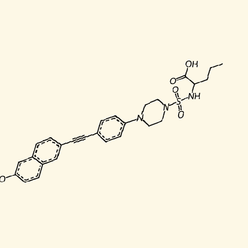 CCCC(NS(=O)(=O)N1CCN(c2ccc(C#Cc3ccc4cc(OC)ccc4c3)cc2)CC1)C(=O)O